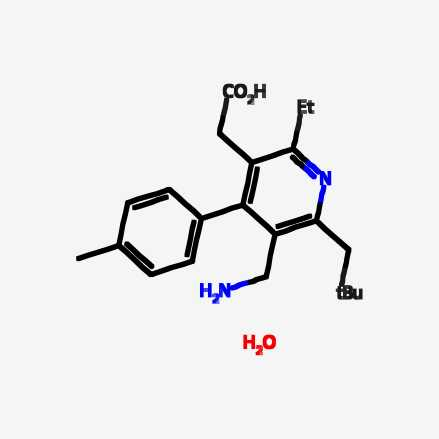 CCc1nc(CC(C)(C)C)c(CN)c(-c2ccc(C)cc2)c1CC(=O)O.O